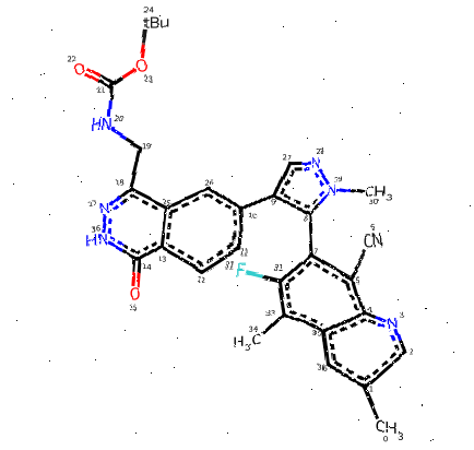 Cc1cnc2c(C#N)c(-c3c(-c4ccc5c(=O)[nH]nc(CNC(=O)OC(C)(C)C)c5c4)cnn3C)c(F)c(C)c2c1